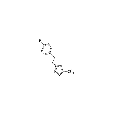 Fc1ccc(CCn2cc(C(F)(F)F)cn2)cc1